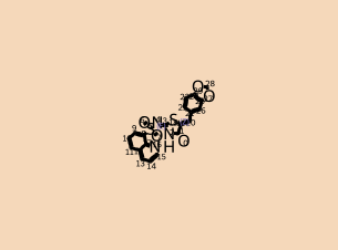 O=C1N/C(=N\S(=O)(=O)c2cccc3cccnc23)S/C1=C\c1ccc2c(c1)OCO2